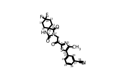 Cc1nc(C(=O)CN2C(=O)NC3(CCC(F)(F)CC3)C2=O)sc1-c1cccc(C#N)c1